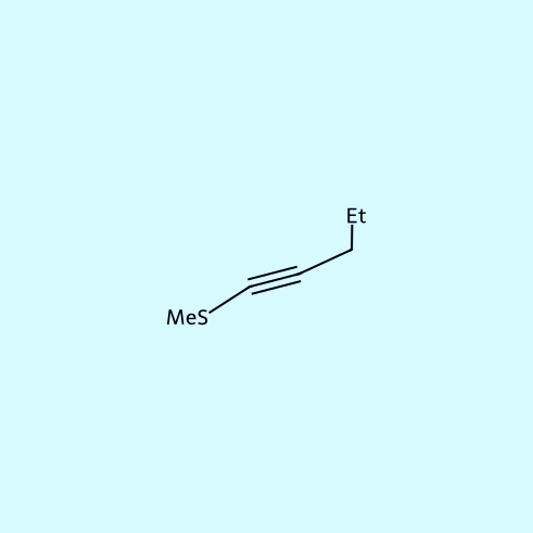 [CH2]CCC#CS[CH2]